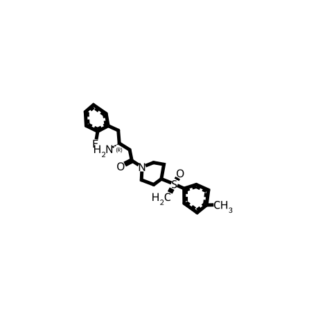 C=S(=O)(c1ccc(C)cc1)C1CCN(C(=O)C[C@H](N)Cc2ccccc2F)CC1